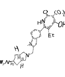 CCc1c(-c2ccc3c(c2)cc(CN2C[C@H]4C[C@@H](N)C[C@H]4C2)n3C)[nH]c(=O)c(C(=O)O)c1O